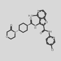 Nc1nccc2oc(C(=O)Nc3ccc(Cl)cn3)c(NC(=O)[C@H]3CC[C@H](N4CCOCC4=O)CC3)c12